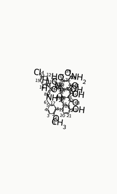 COc1ccc(CNCCc2ccc(Cl)cc2)cc1-c1ccc(O)c2c1C[C@H]1C[C@H]3[C@H](N(C)C)C(O)=C(C(N)=O)C(=O)[C@@]3(O)C(O)=C1C2=O